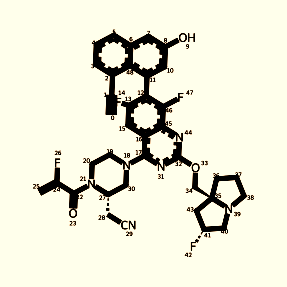 C#Cc1cccc2cc(O)cc(-c3c(F)cc4c(N5CCN(C(=O)C(=C)F)[C@@H](CC#N)C5)nc(OC[C@@]56CCCN5C[C@H](F)C6)nc4c3F)c12